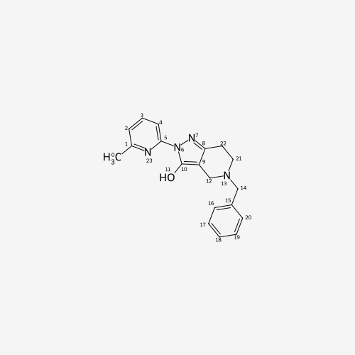 Cc1cccc(-n2nc3c(c2O)CN(Cc2ccccc2)CC3)n1